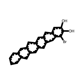 Oc1cc2cc3cc4cc5cc6ccccc6cc5cc4cc3cc2c(Br)c1O